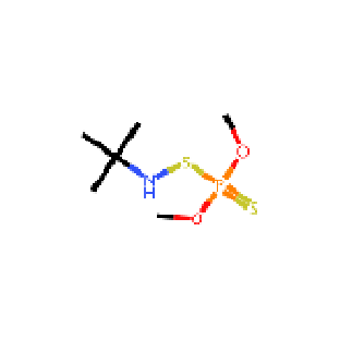 COP(=S)(OC)SNC(C)(C)C